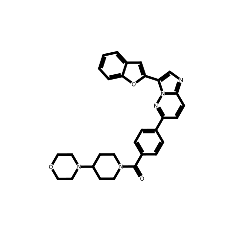 O=C(c1ccc(-c2ccc3ncc(-c4cc5ccccc5o4)n3n2)cc1)N1CCC(N2CCOCC2)CC1